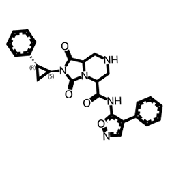 O=C(Nc1oncc1-c1ccccc1)C1CNCC2C(=O)N([C@H]3C[C@@H]3c3ccccc3)C(=O)N12